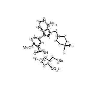 COc1ncc(-c2cc(CN3CCC(F)(F)CC3)c3c(N)ncnn23)cc1C(=O)N[C@@H]1C(CC(C)(C)C)N(C(=O)O)C[C@@H]1F